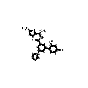 Cc1ccc(-c2cc(C(=O)NC(C)c3ccc(C)o3)cc(-n3cnnn3)c2)c(F)c1